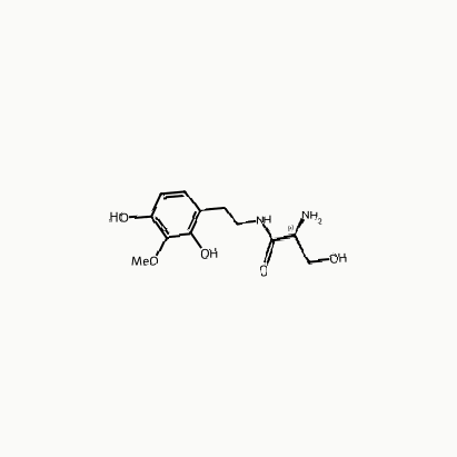 COc1c(O)ccc(CCNC(=O)[C@@H](N)CO)c1O